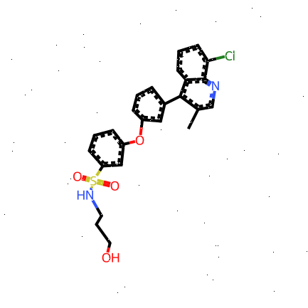 Cc1cnc2c(Cl)cccc2c1-c1cccc(Oc2cccc(S(=O)(=O)NCCCO)c2)c1